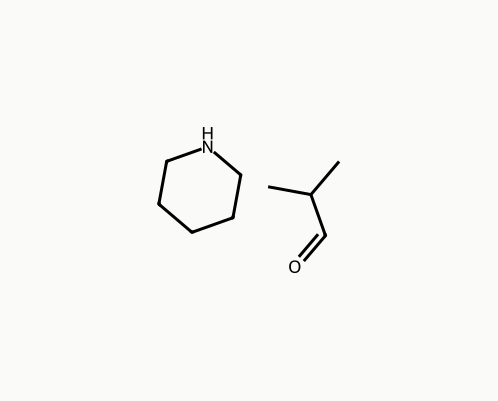 C1CCNCC1.CC(C)C=O